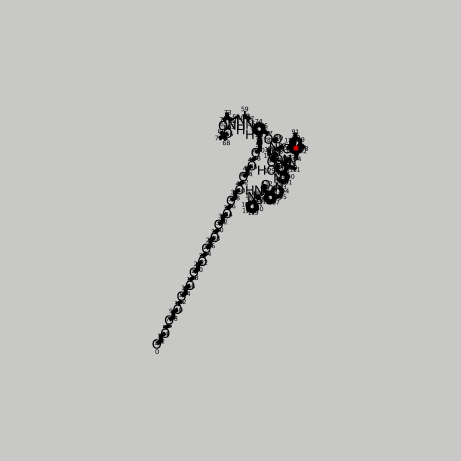 COCCOCCOCCOCCOCCOCCOCCOCCOCCOCCOCCOCCOCCOCCOCCOCCOCC#Cc1cc(NC[C@H](C)NC[C@@H](NC(=O)OC(C)(C)C)C(C)C)ccc1COC(=O)N(CCOC12CC3(C)CC(C)(CC(Cn4ncc(-c5ccc(N6CCc7cccc(C(=O)Nc8nc9ccccc9s8)c7C6)nc5C(=O)O)c4C)(C3)C1)C2)CCS(=O)(=O)O